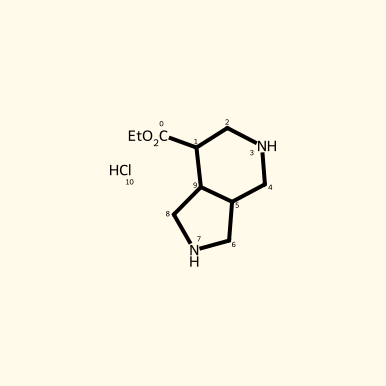 CCOC(=O)C1CNCC2CNCC21.Cl